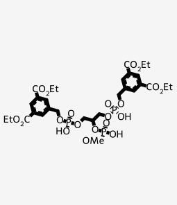 CCOC(=O)c1cc(COP(=O)(O)OCC(COP(=O)(O)OCc2cc(C(=O)OCC)cc(C(=O)OCC)c2)OP(=O)(O)OC)cc(C(=O)OCC)c1